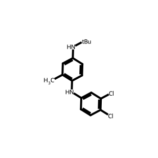 Cc1cc(NC(C)(C)C)ccc1Nc1ccc(Cl)c(Cl)c1